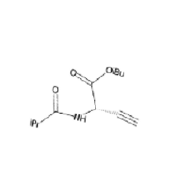 C#C[C@H](NC(=O)C(C)C)C(=O)OCC(C)C